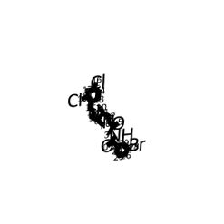 O=C(NCC(=O)N1CC2=CN(Cc3ccc(Cl)cc3Cl)CC2C1)c1cccc(Br)c1